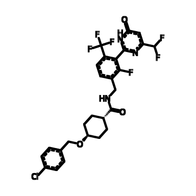 O=c1cc(C(F)F)nc(-c2c(C(F)(F)F)ccc(CNC(=O)[C@H]3CC[C@H](OCc4ccc(Cl)cc4)CC3)c2F)[nH]1